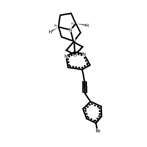 Brc1ccc(C#Cc2cnc(N3C[C@H]4CC[C@@H](C3)N4C3COC3)nc2)cc1